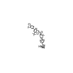 CC(C)(C)c1cc(-c2ccc(Cl)c(F)c2)nc2cc(C(=O)N3CCN(c4ncc(-c5nnn[nH]5)cn4)CC3(C)C)oc12